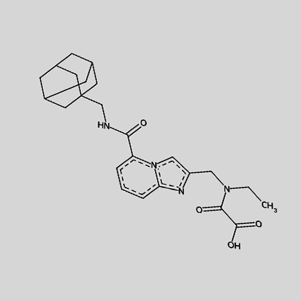 CCN(Cc1cn2c(C(=O)NCC34CC5CC(CC(C5)C3)C4)cccc2n1)C(=O)C(=O)O